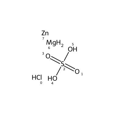 Cl.O=S(=O)(O)O.[MgH2].[Zn]